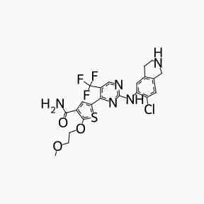 COCCOc1sc(-c2nc(Nc3cc4c(cc3Cl)CNCC4)ncc2C(F)(F)F)cc1C(N)=O